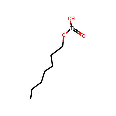 CCCCCCC[O][Ti](=[O])[OH]